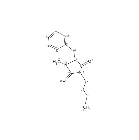 CCCCN1C(=O)C(Cc2ccccc2)N(C)C1=O